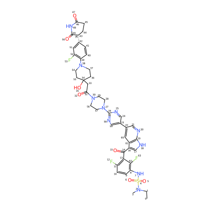 CCN(C)S(=O)(=O)Nc1ccc(F)c(C(=O)c2c[nH]c3ncc(-c4cnc(N5CCN(C(=O)CC6(O)CCN(c7ccc([C@H]8CCC(=O)NC8=O)cc7F)CC6)CC5)nc4)cc23)c1F